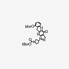 COc1ccccc1Cc1nc2c(cnn2C2CCN(C(=O)OC(C)(C)C)C2)c(=O)[nH]1